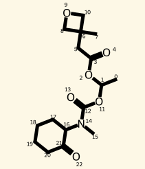 CC(OC(=O)CC1(C)COC1)OC(=O)N(C)C1CCCCC1=O